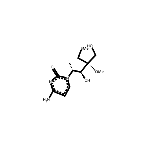 CO[C@@](CO)(CSC)[C@@H](O)[C@@H](F)n1ccc(N)nc1=O